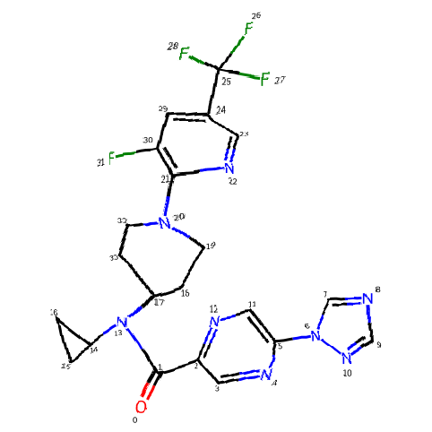 O=C(c1cnc(-n2cncn2)cn1)N(C1CC1)C1CCN(c2ncc(C(F)(F)F)cc2F)CC1